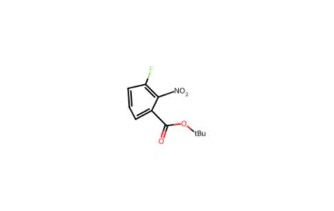 CC(C)(C)OC(=O)c1cccc(F)c1[N+](=O)[O-]